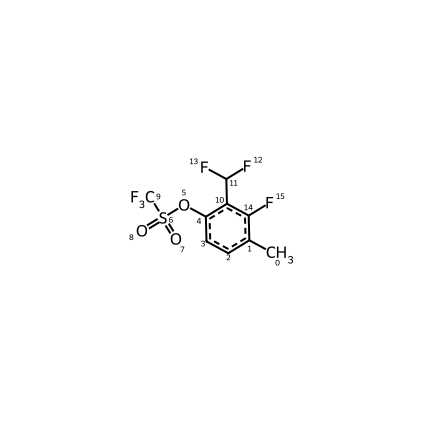 Cc1ccc(OS(=O)(=O)C(F)(F)F)c(C(F)F)c1F